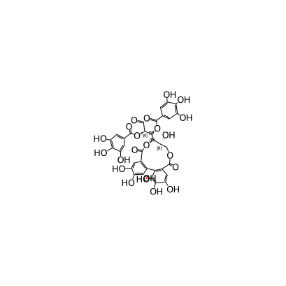 O=C[C@H](OC(=O)c1cc(O)c(O)c(O)c1)[C@@H](OC(=O)c1cc(O)c(O)c(O)c1)[C@@H]1OC(=O)c2cc(O)c(O)c(O)c2-c2c(cc(O)c(O)c2O)C(=O)OC[C@H]1O